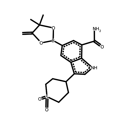 C=C1OB(c2cc(C(N)=O)c3[nH]cc(C4CCS(=O)(=O)CC4)c3c2)OC1(C)C